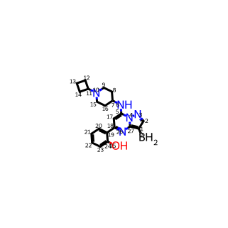 Bc1cnn2c(NC3CCN(C4CCC4)CC3)cc(-c3ccccc3O)nc12